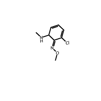 CNC1C=CC=C(Cl)C1=NOC